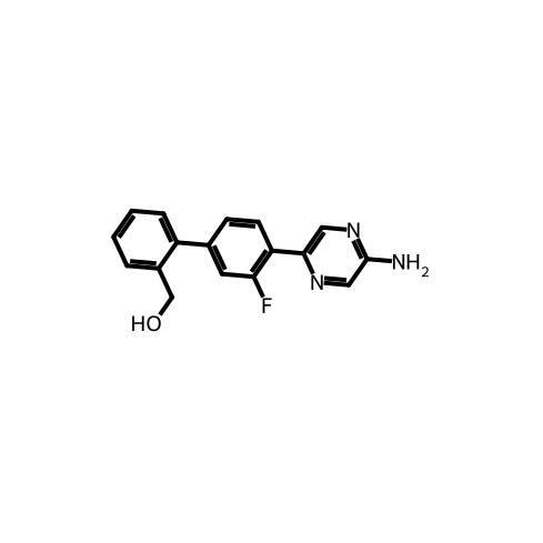 Nc1cnc(-c2ccc(-c3ccccc3CO)cc2F)cn1